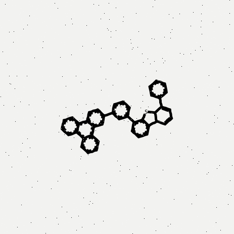 C1=CC2c3cccc(-c4cccc(-c5ccc6c7ccccc7c7ccccc7c6c5)c4)c3SC2C(c2ccccc2)=C1